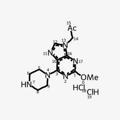 COc1nc(N2CCNCC2)c2ncn(CC(C)=O)c2n1.Cl.Cl